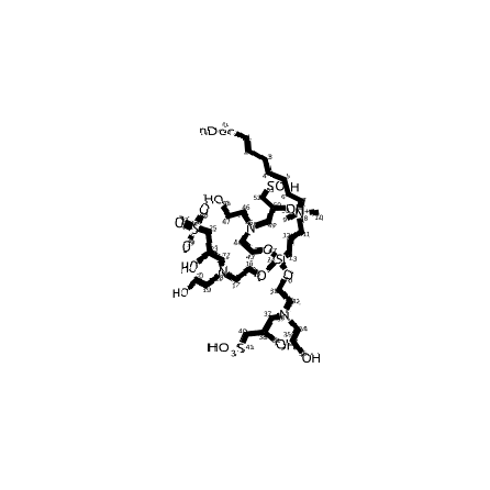 CCCCCCCCCCCCCCCCC[N+](C)(C)CCC[Si](OCCN(CCO)CC(O)CS(=O)(=O)[O-])(OCCN(CCO)CC(O)CS(=O)(=O)O)OCCN(CCO)CC(O)CS(=O)(=O)O